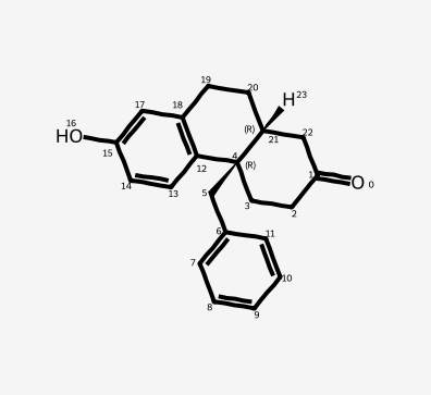 O=C1CC[C@]2(Cc3ccccc3)c3ccc(O)cc3CC[C@@H]2C1